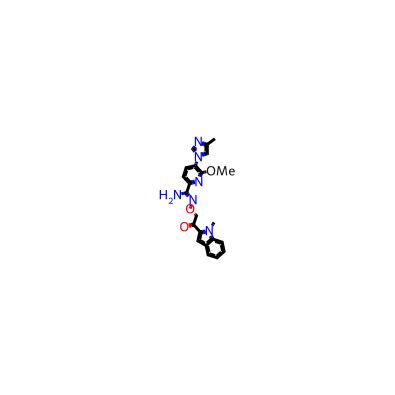 COc1nc(/C(N)=N/OCC(=O)c2cc3ccccc3n2C)ccc1-n1cnc(C)c1